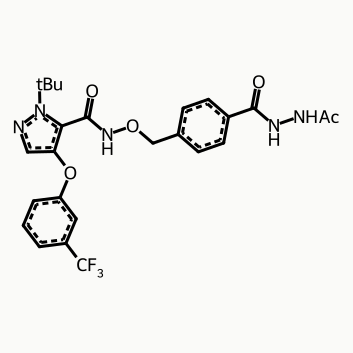 CC(=O)NNC(=O)c1ccc(CONC(=O)c2c(Oc3cccc(C(F)(F)F)c3)cnn2C(C)(C)C)cc1